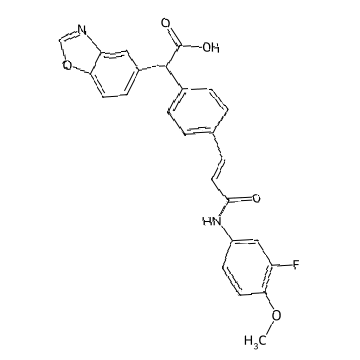 COc1ccc(NC(=O)C=Cc2ccc(C(C(=O)O)c3ccc4ocnc4c3)cc2)cc1F